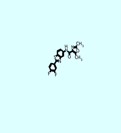 Cc1nc(C(=O)Nc2ccc3sc(-c4ccc(F)c(F)c4)nc3c2)c(C)o1